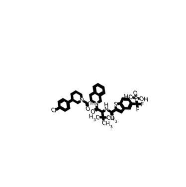 CC(C)(C)C(NC(=O)c1cc2cc(C(F)(F)P(=O)(O)O)ccc2s1)C(=O)N1Cc2ccccc2C[C@H]1C(=O)N1CCCC(c2ccc(Cl)cc2)C1